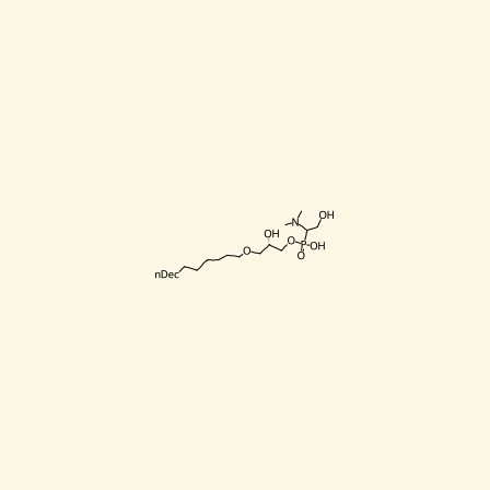 CCCCCCCCCCCCCCCCOC[C@H](O)COP(=O)(O)C(CO)N(C)C